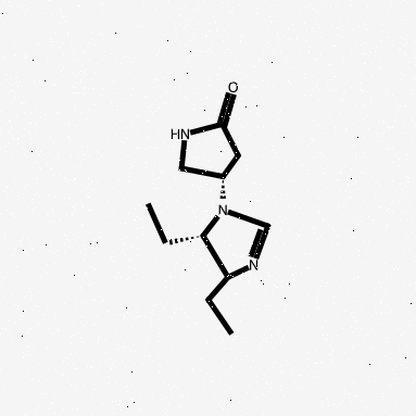 CCC1N=CN([C@@H]2CNC(=O)C2)[C@H]1CC